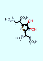 O=C(O)CC(C(=O)O)c1sc(C(CC(=O)O)C(=O)O)c(O)c1O